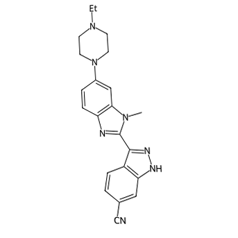 CCN1CCN(c2ccc3nc(-c4n[nH]c5cc(C#N)ccc45)n(C)c3c2)CC1